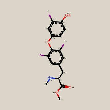 CN[C@@H](Cc1cc(I)c(Oc2ccc(O)c(I)c2)c(I)c1)C(=O)OC